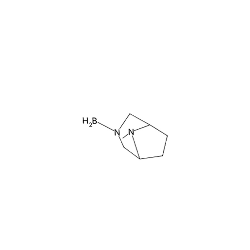 BN1CC2CCC(C1)N2C